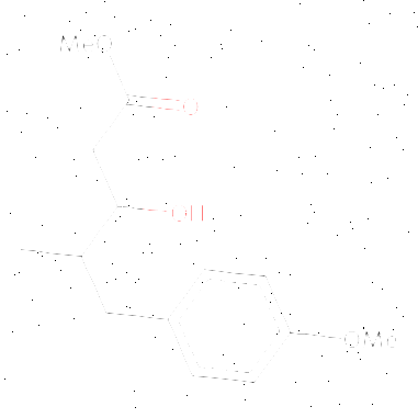 COC(=O)CC(O)C(C)Cc1ccc(OC)cc1